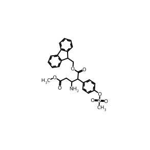 COC(=O)CC(N)C(C(=O)OCC1c2ccccc2-c2ccccc21)c1ccc(OS(C)(=O)=O)cc1